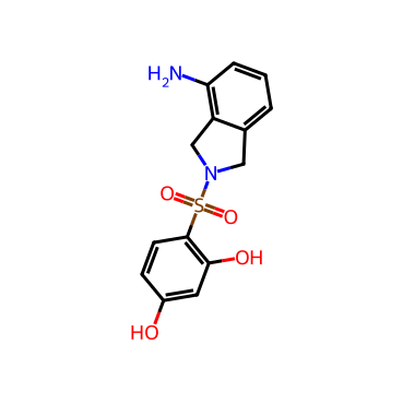 Nc1cccc2c1CN(S(=O)(=O)c1ccc(O)cc1O)C2